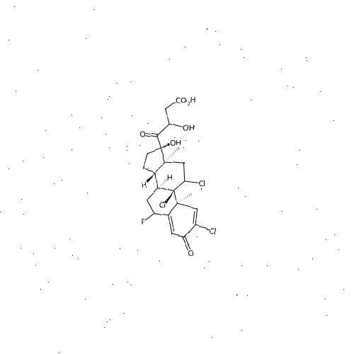 C[C@]12C=C(Cl)C(=O)C=C1C(F)C[C@H]1[C@@H]3CC[C@](O)(C(=O)C(O)CC(=O)O)[C@@]3(C)CC(Cl)[C@@]12Cl